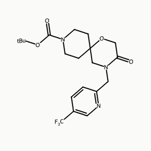 CC(C)(C)OC(=O)N1CCC2(CC1)CN(Cc1ccc(C(F)(F)F)cn1)C(=O)CO2